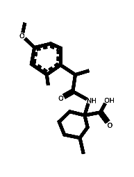 COc1ccc(C(C)C(=O)NC2(C(=O)O)CCCC(C)C2)c(C)c1